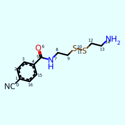 N#Cc1ccc(C(=O)NCCSSCCN)cc1